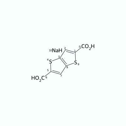 O=C(O)c1cc2sc(C(=O)O)cc2s1.[NaH]